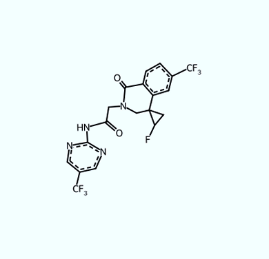 O=C(CN1CC2(CC2F)c2cc(C(F)(F)F)ccc2C1=O)Nc1ncc(C(F)(F)F)cn1